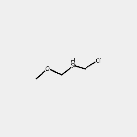 COC[SiH]CCl